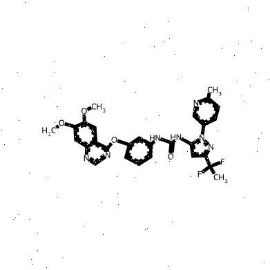 COc1cc2ncnc(Oc3cccc(NC(=O)Nc4cc(C(C)(F)F)nn4-c4ccc(C)nc4)c3)c2cc1OC